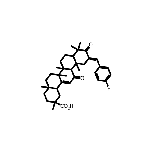 CC1(C(=O)O)CCC2(C)CCC3(C)C(=CC(=O)C4C5(C)C/C(=C\c6ccc(F)cc6)C(=O)C(C)(C)C5CCC43C)C2C1